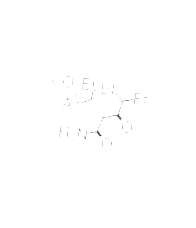 CCC(CC)C(=O)CC(N)=O.CCOC(=O)CC(C)=O